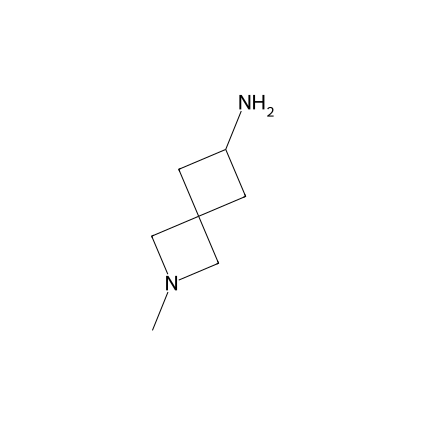 CN1CC2(CC(N)C2)C1